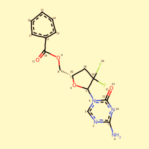 Nc1ncn(C2O[C@H](COC(=O)c3ccccc3)CC2(F)F)c(=O)n1